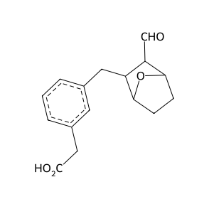 O=CC1C2CCC(O2)C1Cc1cccc(CC(=O)O)c1